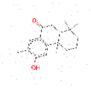 Cc1cc2c(cc1O)C1(C)CCCC(C)(C)C1CC2=O